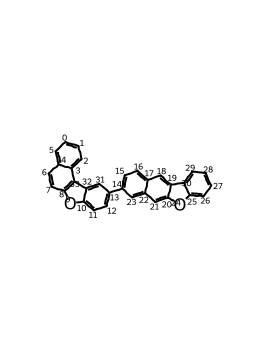 c1ccc2c(c1)ccc1oc3ccc(-c4ccc5cc6c(cc5c4)oc4ccccc46)cc3c12